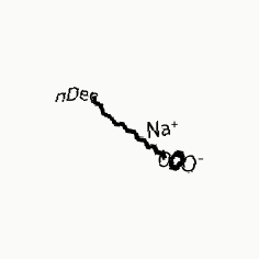 CCCCCCCCCCCCCCCCCCCCCCCCOc1ccc([O-])cc1.[Na+]